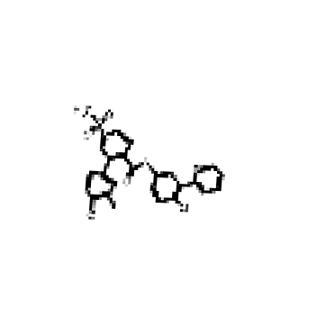 CS(=O)(=O)c1ccc(C(=O)Nc2ccc(Cl)c(-c3ccccn3)c2)c(-c2ccc(Cl)c(F)c2)c1